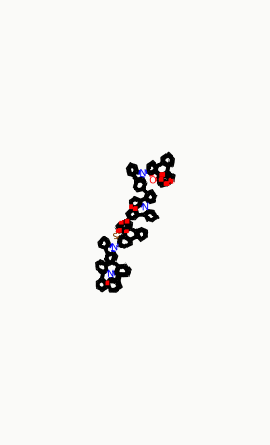 c1ccc(-c2ccccc2-c2ccc(-n3c4ccccc4c4ccc(-c5cccc6c5c5ccccc5n6-c5ccccc5-c5cccc(-c6ccc7sc8c(-n9c%10ccccc%10c%10ccc(-c%11cccc%12c%13ccccc%13n(-c%13ccccc%13-c%13ccccc%13)c%11%12)cc%109)ccc(-c9ccccc9-c9ccccc9)c8c7c6)c5)cc43)c3oc4ccccc4c23)cc1